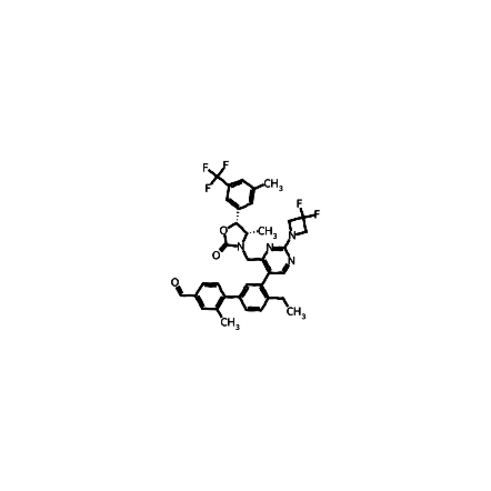 CCc1ccc(-c2ccc(C=O)cc2C)cc1-c1cnc(N2CC(F)(F)C2)nc1CN1C(=O)O[C@H](c2cc(C)cc(C(F)(F)F)c2)[C@@H]1C